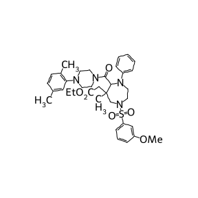 CCOC(=O)CC1(C)CN(S(=O)(=O)c2cccc(OC)c2)CCN(c2ccccc2)C1C(=O)N1CCN(c2cc(C)ccc2C)CC1